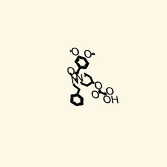 COc1ccc(C(=O)[N+]2(N(C)CCc3ccccc3)CCC(OC(=O)C(=O)O)CC2)cc1OC